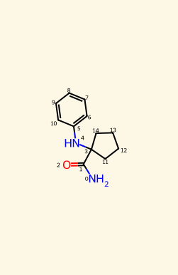 NC(=O)C1(Nc2ccccc2)CCCC1